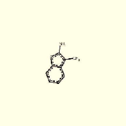 Cc1c(N)sc2ccccc12